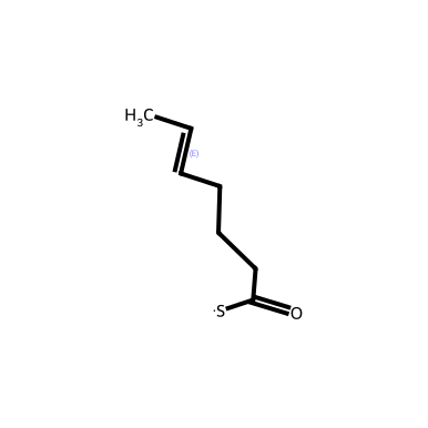 C/C=C/CCCC(=O)[S]